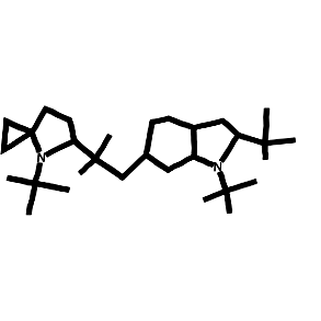 CC(C)(C)C1CC2CCC(CC(C)(C)C3CCC4(CC4)N3C(C)(C)C)CC2N1C(C)(C)C